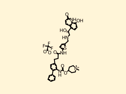 C[N+]1(C)CCC(OC(=O)Nc2cc(CCC(=O)Nc3ccc(CNC[C@H](O)c4ccc(O)c5[nH]c(=O)ccc45)s3)ccc2-c2ccccc2)CC1.O=C([O-])C(F)(F)F